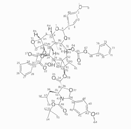 COc1ccc(C2O[C@H]3C[C@H]4OC[C@@]4(OC(C)=O)[C@H]4[C@H](OC(=O)c5ccccc5)[C@]5(O)C[C@H](OC(=O)[C@@H]6OC(c7ccc(OC)cc7)N(C(=O)OC(C)(C)C)[C@H]6CC(C)C)C(C)=C([C@H](OC(=O)OCc6ccccc6)[C@H](O2)[C@]34C)C5(C)C)cc1